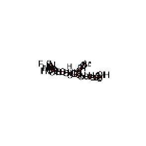 CC(=O)COCCOCCOCC(=O)NC(COCCC(=O)NCCOCCOCCOCCOC[C@H]1OC[C@H](Nc2cncc(C(F)(F)F)n2)[C@@H](O)[C@H]1O)COCCC(=O)NCCOCCOCCOCCOC[C@H]1OCC[C@@H](O)[C@H]1O